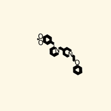 C1=C[C@H](Cc2ccc3c(c2)OCO3)N(CC2CCN(CCOc3ccccc3)CC2)C=C1